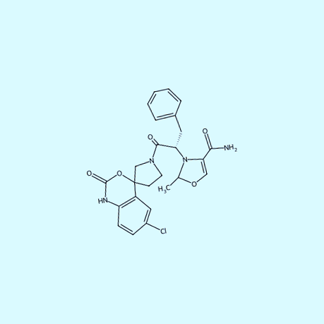 CC1OC=C(C(N)=O)N1[C@@H](Cc1ccccc1)C(=O)N1CCC2(C1)OC(=O)Nc1ccc(Cl)cc12